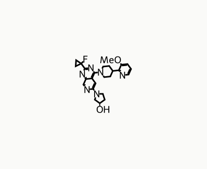 COc1cccnc1C1CCN(c2nc(C3(F)CC3)nc3cnc(N4CC[C@@H](O)C4)cc23)CC1